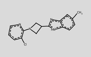 Cc1ccc2[nH]c(C3CN(c4ncccc4Cl)C3)nc2c1